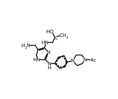 CC(=O)N1CCN(c2ccc(NC3=NC(NC[C@H](C)O)=C(CN)CN3)cc2)CC1